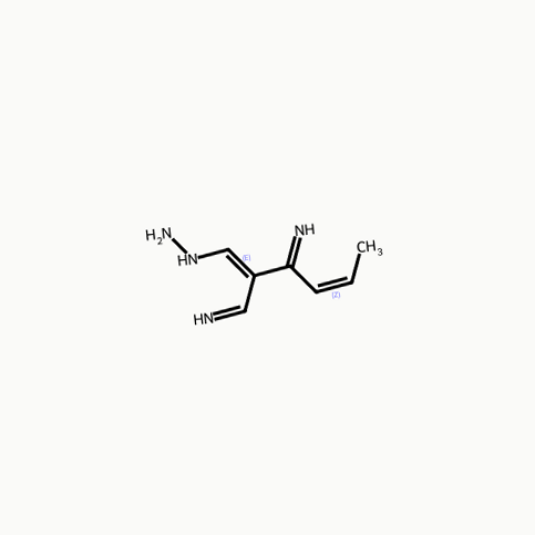 C/C=C\C(=N)/C(C=N)=C/NN